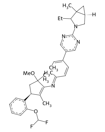 C\C=C(/C=C\C(C)=N\C1=C(C)[C@@H](c2ccccc2OC(F)F)CC1(C)OC)c1cnc(N2C[C@@H]3CC3(C)C2CC)nc1